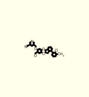 Cc1cccc(-c2cccc3c2CC[C@@H]3Oc2cc(OCc3cncc(C#N)c3)c(C=O)cc2Cl)c1Cl